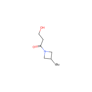 CC(C)(C)C1CN(C(=O)CCO)C1